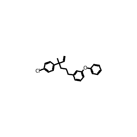 C=CC(C)(CCCc1cccc(Oc2ccccc2)c1)c1ccc(Cl)cc1